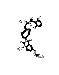 CCNCc1ccc2c(c1)c(=O)n(-c1ccc(C[C@H](NC(=O)c3c(Cl)cccc3Cl)C(=O)OCC)cc1)c(=O)n2C